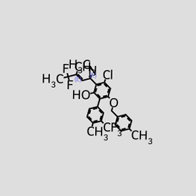 C/N=C(\C=C(/C)C(C)(F)F)c1c(Cl)cc(OCc2ccc(C)cc2)c(-c2ccc(C)c(C(F)(F)F)c2)c1O